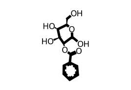 O=C(O[C@H]1[C](O)O[C@H](CO)[C@@H](O)[C@@H]1O)c1ccccc1